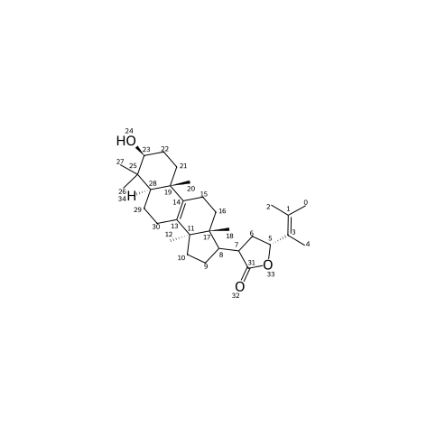 CC(C)=C(C)[C@H]1CC(C2CC[C@@]3(C)C4=C(CC[C@]23C)[C@@]2(C)CC[C@H](O)C(C)(C)[C@@H]2CC4)C(=O)O1